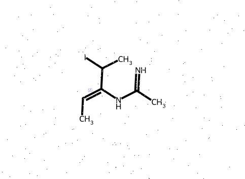 C/C=C(\NC(C)=N)C(C)I